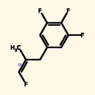 C/C(=C/F)Cc1cc(F)c(F)c(F)c1